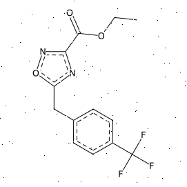 CCOC(=O)c1noc(Cc2ccc(C(F)(F)F)cc2)n1